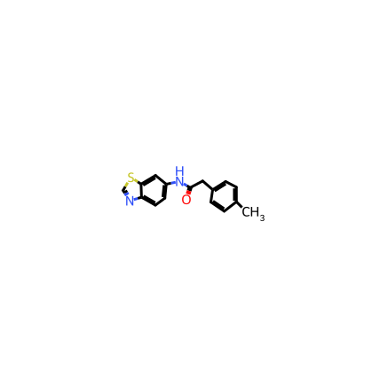 Cc1ccc(CC(=O)Nc2ccc3ncsc3c2)cc1